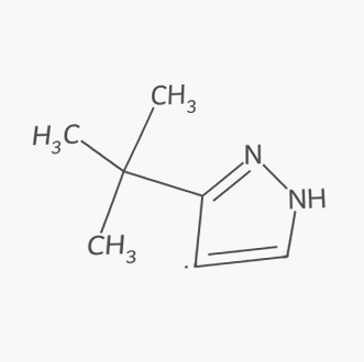 CC(C)(C)c1[c]c[nH]n1